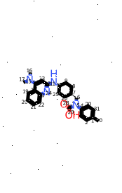 Cc1ccc(N(C[C@H]2CC[C@@H](Nc3cc(N(C)C)c4ccccc4n3)CC2)C(=O)O)cc1